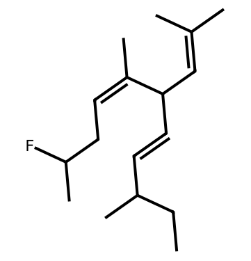 CCC(C)/C=C/C(C=C(C)C)/C(C)=C\CC(C)F